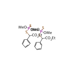 CCOC(=O)C(SP(=S)(OC)OC)c1ccccc1.CCOC(=O)C(SP(=S)(OC)OC)c1ccccc1